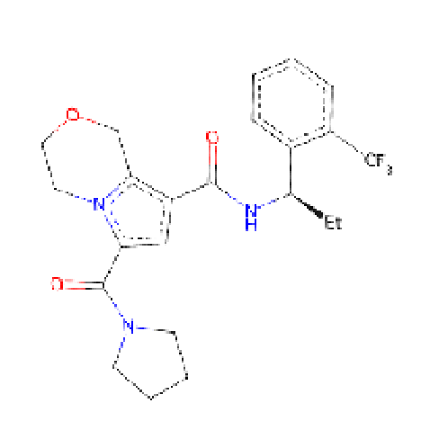 CC[C@@H](NC(=O)c1cc(C(=O)N2CCCC2)n2c1COCC2)c1ccccc1C(F)(F)F